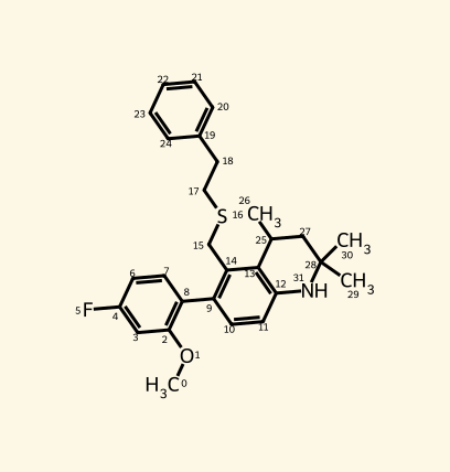 COc1cc(F)ccc1-c1ccc2c(c1CSCCc1ccccc1)C(C)CC(C)(C)N2